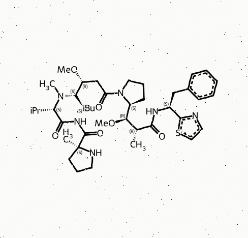 CC[C@H](C)[C@@H]([C@@H](CC(=O)N1CCC[C@H]1[C@H](OC)[C@@H](C)C(=O)N[C@@H](Cc1ccccc1)c1nccs1)OC)N(C)[C@H](C(=O)NC(=O)[C@]1(C)CCCN1)C(C)C